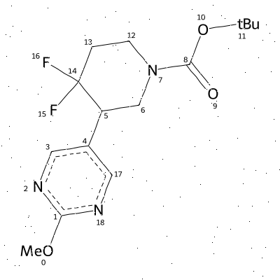 COc1ncc(C2CN(C(=O)OC(C)(C)C)CCC2(F)F)cn1